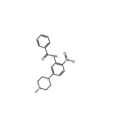 CN1CCN(c2ccc([N+](=O)[O-])c(NC(=O)c3ccccc3)c2)CC1